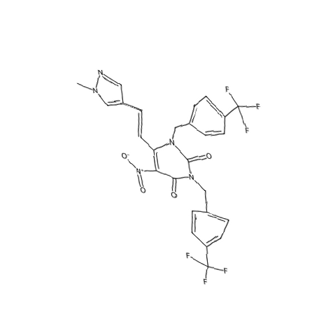 Cn1cc(C=Cc2c([N+](=O)[O-])c(=O)n(Cc3ccc(C(F)(F)F)cc3)c(=O)n2Cc2ccc(C(F)(F)F)cc2)cn1